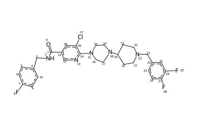 O=C(NCc1ccc(F)cc1)c1cnc(N2CCN(C3CCN(Cc4ccc(F)c(F)c4)CC3)CC2)c(Cl)c1